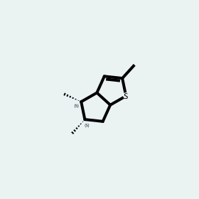 CC1=CC2C(C[C@H](C)[C@@H]2C)S1